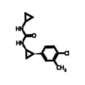 Cc1cc([C@@H]2C[C@H]2NC(=O)NC2CC2)ccc1Cl